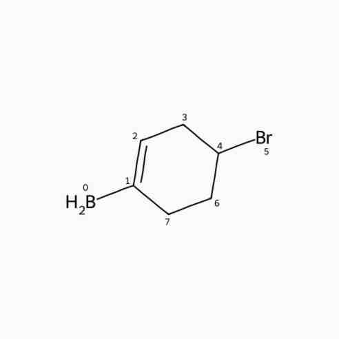 BC1=CCC(Br)CC1